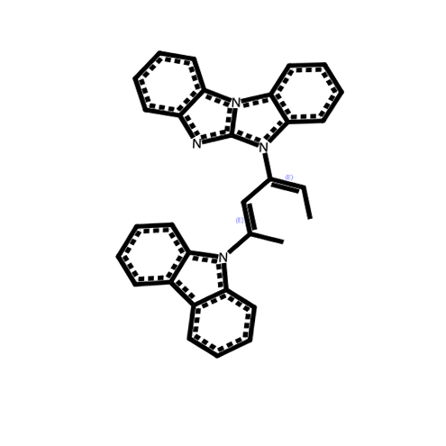 C/C=C(\C=C(/C)n1c2ccccc2c2ccccc21)n1c2ccccc2n2c3ccccc3nc12